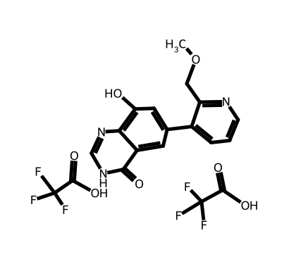 COCc1ncccc1-c1cc(O)c2nc[nH]c(=O)c2c1.O=C(O)C(F)(F)F.O=C(O)C(F)(F)F